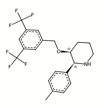 Cc1ccc([C@@H]2NCCC[C@@H]2OCc2cc(C(F)(F)F)cc(C(F)(F)F)c2)cc1